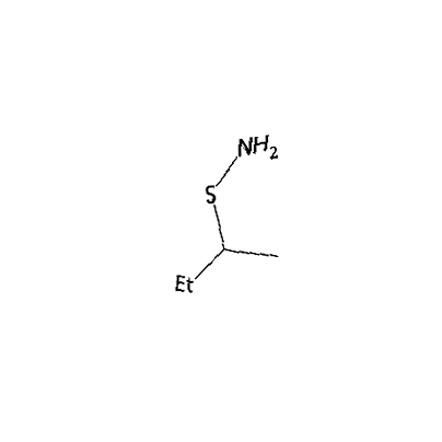 CCC(C)SN